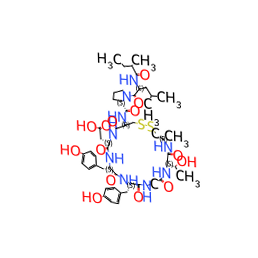 CCC(C)C(=O)N[C@@H](CC(C)C)C(=O)N1CCC[C@H]1C(=O)N[C@H]1CSSC[C@@H](C)NC(=O)[C@H](C(C)O)NC(=O)CNC(=O)[C@H](Cc2ccc(O)cc2)NC(=O)[C@H](Cc2ccc(O)cc2)NC(=O)[C@H](CC(=O)O)NC1=O